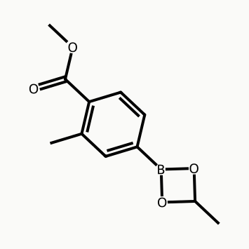 COC(=O)c1ccc(B2OC(C)O2)cc1C